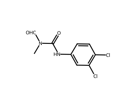 CN(C=O)C(=O)Nc1ccc(Cl)c(Cl)c1